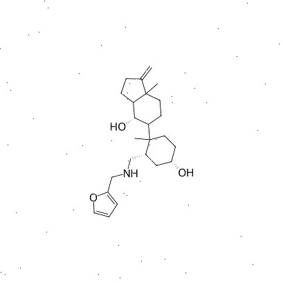 C=C1CCC2[C@@H](O)C(C3(C)CC[C@H](O)C[C@@H]3CNCc3ccco3)CCC12C